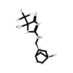 CC1(C(F)(F)F)SC(NC[C@H]2C[C@@H]3CCC2C3)=NC1=O